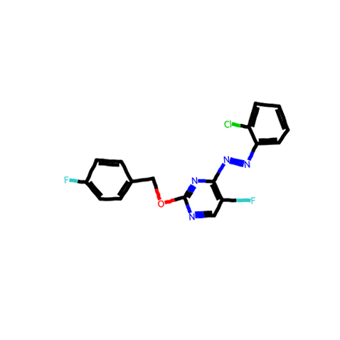 Fc1ccc(COc2ncc(F)c(/N=N/c3ccccc3Cl)n2)cc1